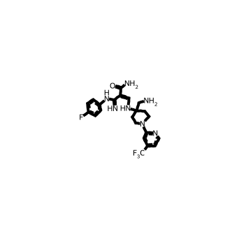 N=C(Nc1ccc(F)cc1)/C(=C\NC1(CN)CCN(c2cc(C(F)(F)F)ccn2)CC1)C(N)=O